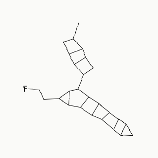 CC1CC2C1C1CC(C3C4C(CCF)C4C4C3C3C5C6C7CC7C6C5C43)C21